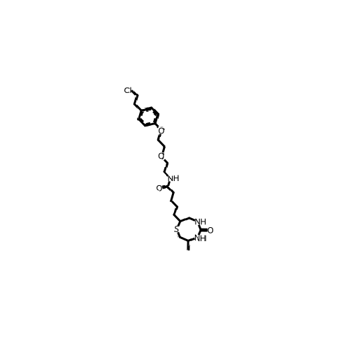 CC1CSC(CCCCC(=O)NCCOCCOc2ccc(CCCl)cc2)CNC(=O)N1